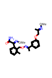 CO/N=C(\C)COc1cccc(/C(C)=N/OCc2c(C)cccc2/C(=N\OC)C(N)=O)c1